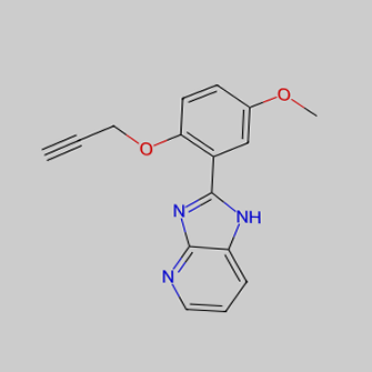 C#CCOc1ccc(OC)cc1-c1nc2ncccc2[nH]1